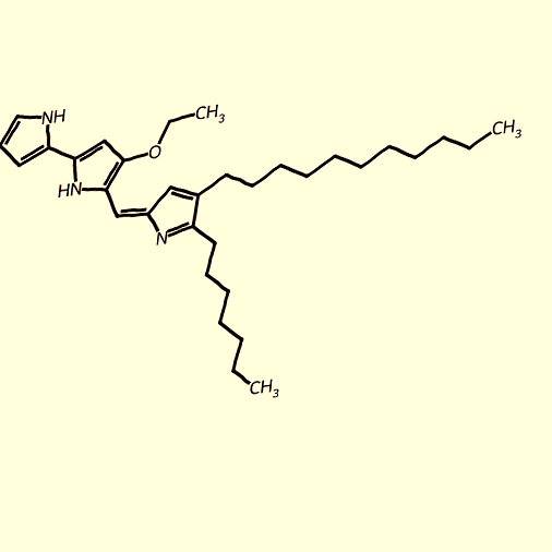 CCCCCCCCCCCC1=CC(=Cc2[nH]c(-c3ccc[nH]3)cc2OCC)N=C1CCCCCCC